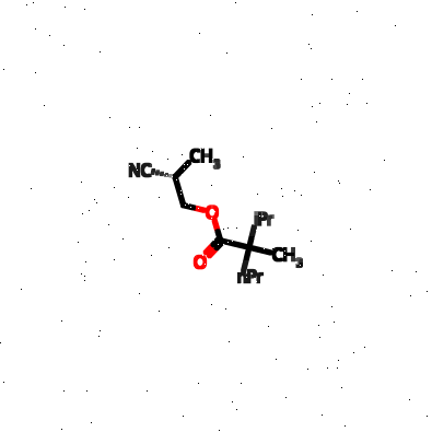 CCCC(C)(C(=O)OC[C@@H](C)C#N)C(C)C